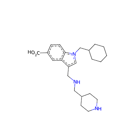 O=C(O)c1ccc2c(c1)c(CNCC1CCNCC1)cn2CC1CCCCC1